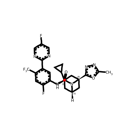 Cc1nnc([C@@]23C[C@@H](C4CC4)C[C@@H](C2)N3C(=O)Nc2cc(-c3ncc(F)cn3)c(C(F)(F)F)cc2F)o1